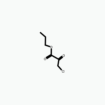 CCCOC(=O)C(=O)CCl